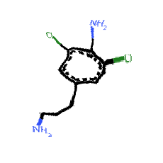 N[CH][CH]c1cc(Cl)c(N)c(Cl)c1